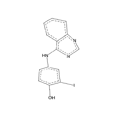 Oc1ccc(Nc2ncnc3ccccc23)cc1I